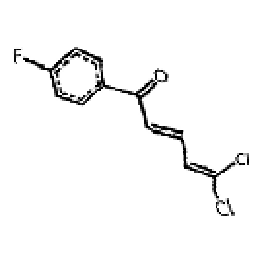 O=C(C=CC=C(Cl)Cl)c1ccc(F)cc1